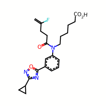 C=C(F)CCC(=O)N(CCCCCC(=O)O)c1cccc(-c2nc(C3CC3)no2)c1